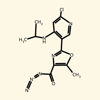 Cc1oc(-c2cnc(Cl)cc2NC(C)C)nc1C(=O)N=[N+]=[N-]